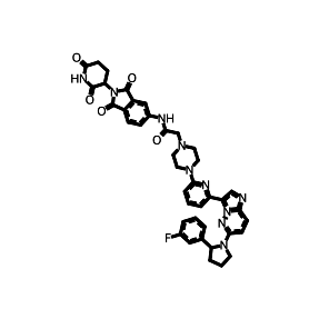 O=C1CCC(N2C(=O)c3ccc(NC(=O)CN4CCN(c5cccc(-c6cnc7ccc(N8CCCC8c8cccc(F)c8)nn67)n5)CC4)cc3C2=O)C(=O)N1